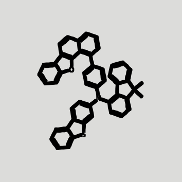 CC1(C)c2ccccc2-c2c(N(c3ccc(-c4cccc5ccc6c7ccccc7oc6c45)cc3)c3ccc4c(c3)sc3ccccc34)cccc21